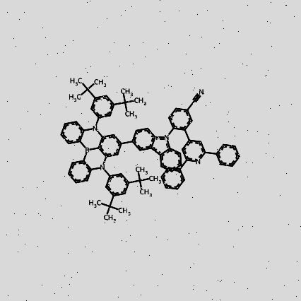 CC(C)(C)c1cc(N2c3ccccc3B3c4ccccc4N(c4cc(C(C)(C)C)cc(C(C)(C)C)c4)c4cc(-c5ccc6c(c5)c5ccccc5n6-c5ccc(C#N)cc5-c5cc(-c6ccccc6)nc(-c6ccccc6)c5)cc2c43)cc(C(C)(C)C)c1